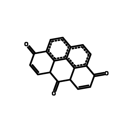 O=C1C=CC2C(=O)C3C=CC(=O)c4ccc5ccc1c2c5c43